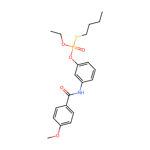 CCCCSP(=O)(OCC)Oc1cccc(NC(=O)c2ccc(OC)cc2)c1